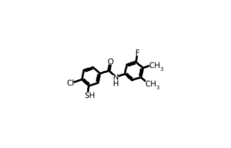 Cc1cc(NC(=O)c2ccc(Cl)c(S)c2)cc(F)c1C